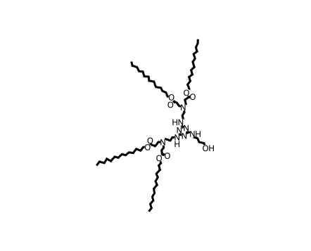 CCCCCCCCCCCCCCOC(=O)CCN(CCCNc1nc(NCCCCO)nc(NCCCN(CCC(=O)OCCCCCCCCCCCCCC)CCC(=O)OCCCCCCCCCCCCCC)n1)CCC(=O)OCCCCCCCCCCCCCC